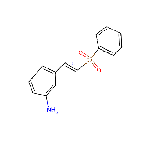 Nc1cccc(/C=C/S(=O)(=O)c2ccccc2)c1